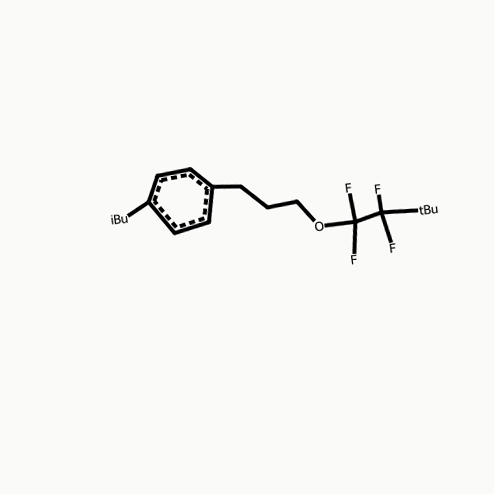 CCC(C)c1ccc(CCCOC(F)(F)C(F)(F)C(C)(C)C)cc1